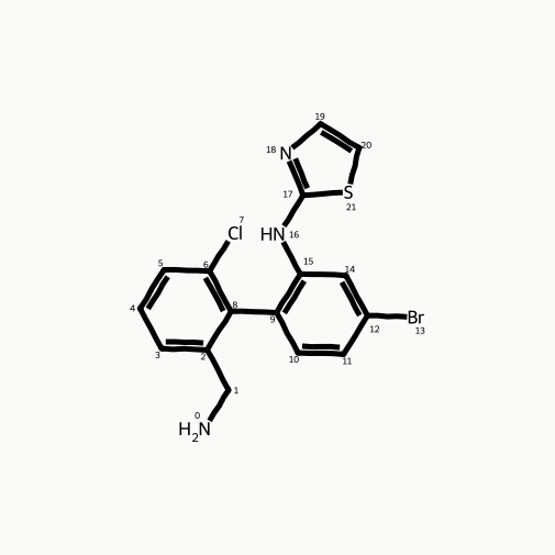 NCc1cccc(Cl)c1-c1ccc(Br)cc1Nc1nccs1